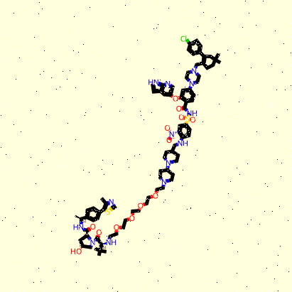 Cc1ncsc1-c1ccc([C@H](C)NC(=O)[C@@H]2C[C@@H](O)CN2C(=O)[C@@H](NCCOCCOCCOCCOCCN2CCC(N3CCC(CNc4ccc(S(=O)(=O)NC(=O)c5ccc(N6CCN(CC7=C(c8ccc(Cl)cc8)CC(C)(C)CC7)CC6)cc5Oc5cnc6[nH]ccc6c5)cc4[N+](=O)[O-])CC3)CC2)C(C)(C)C)cc1